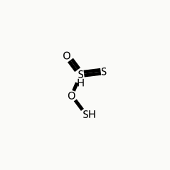 O=[SH](=S)OS